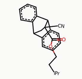 CC(C)CCOC(=O)C1(C#N)CC2c3ccccc3C1c1ccccc12